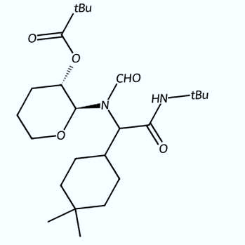 CC1(C)CCC(C(C(=O)NC(C)(C)C)N(C=O)[C@H]2OCCC[C@@H]2OC(=O)C(C)(C)C)CC1